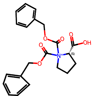 O=C(O)[C@@H]1CCC[N+]1(C(=O)OCc1ccccc1)C(=O)OCc1ccccc1